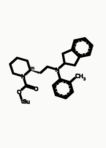 Cc1ccccc1N(CC[C@H]1CCCCN1C(=O)OC(C)(C)C)C1Cc2ccccc2C1